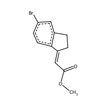 COC(=O)C=C1CCc2cc(Br)ccc21